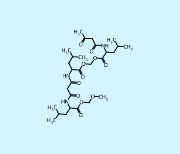 COCOC(=O)C(CC(C)C)NC(=O)CC(=O)NC(CC(C)C)C(=O)OCOC(=O)C(CC(C)C)NC(=O)CC(C)=O